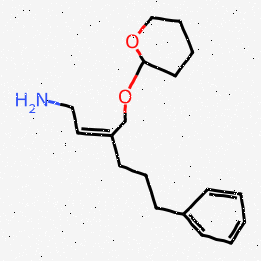 NCC=C(CCCc1ccccc1)COC1CCCCO1